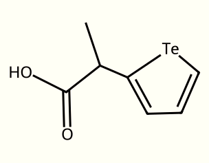 CC(C(=O)O)c1ccc[te]1